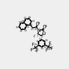 C[C@H]1[C@@H](c2cc(C(F)(F)F)cc(C(F)(F)F)c2)OC(=O)N1C(=O)Cc1cccc2ccccc12